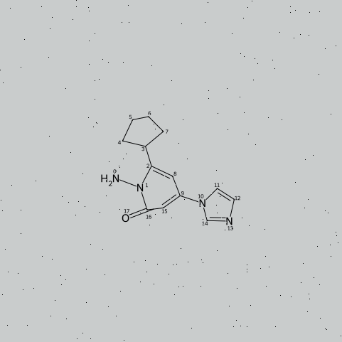 Nn1c(C2CCCC2)cc(-n2ccnc2)cc1=O